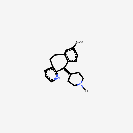 CCN1CCC(=C2c3ccc(OC)cc3CCc3cccnc32)CC1